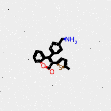 Cc1ccc(-c2c(-c3ccc(CN)cc3)c3ccccc3oc2=O)s1